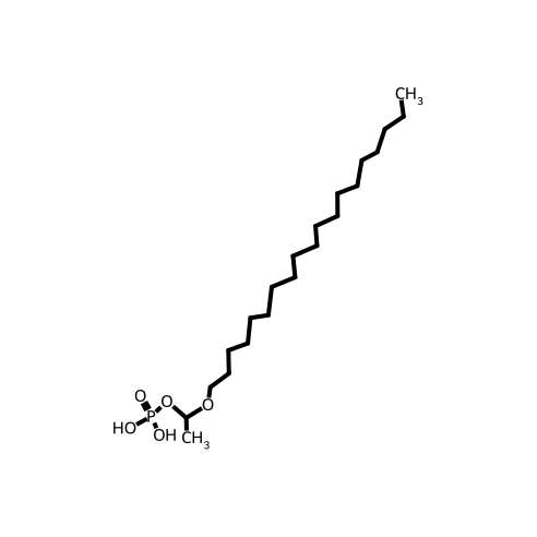 CCCCCCCCCCCCCCCCCCCOC(C)OP(=O)(O)O